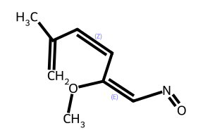 C=C(C)/C=C\C(=C/N=O)OC